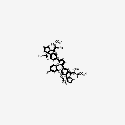 Cc1cc(F)ccc1-n1c(-c2ccc([C@]3(C(N)=O)CCCN3C(=O)[C@@H](NC(=O)O)C(C)(C)C)cc2)ccc1-c1ccc([C@]2(C(N)=O)CCCN2C(=O)[C@@H](NC(=O)O)C(C)(C)C)cc1